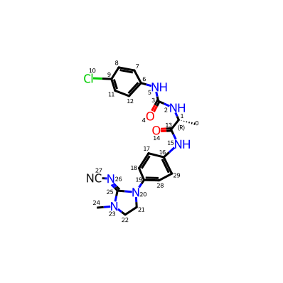 C[C@@H](NC(=O)Nc1ccc(Cl)cc1)C(=O)Nc1ccc(N2CCN(C)C2=NC#N)cc1